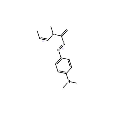 C=C(/N=N/c1ccc(N(C)C)cc1)N(C)/C=C\C